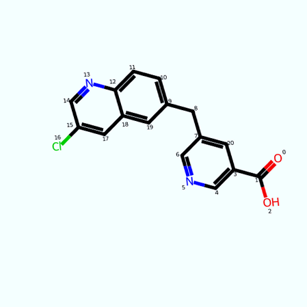 O=C(O)c1cncc(Cc2ccc3ncc(Cl)cc3c2)c1